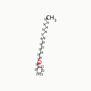 CCCCCCCCCCCCCCCCCCOCC1[C]CCCC1